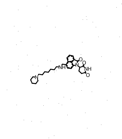 O=C1CCC(N2C(=O)c3cccc4c(CNCCCCCCCN5CCCCC5)ccc2c34)C(=O)N1